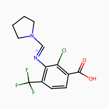 O=C(O)c1ccc(C(F)(F)F)c(/N=C/N2CCCC2)c1Cl